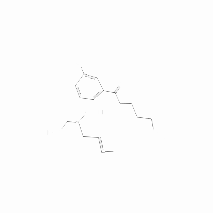 CC=CCC(CC(=O)O)C(=O)O.O=C(O)CCCCC(=O)c1cccc(Br)c1